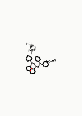 CC#N.Cl.F[B-](F)(F)F.N.c1ccc(P([CH2][Pd]([CH2]P(c2ccccc2)c2ccccc2)[c]2ccccc2)c2ccccc2)cc1